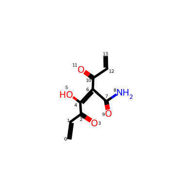 C=CC(=O)C(O)=C(C(N)=O)C(=O)C=C